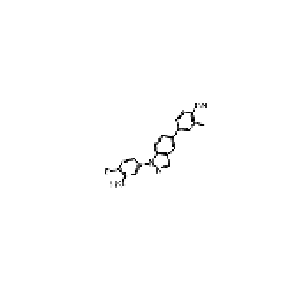 Cc1cc(-c2ccc3c(cnn3-c3ccc(F)c(O)c3)c2)ccc1O